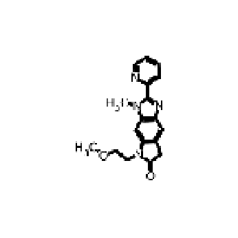 COCCN1C(=O)Cc2cc3nc(-c4ccccn4)n(C)c3cc21